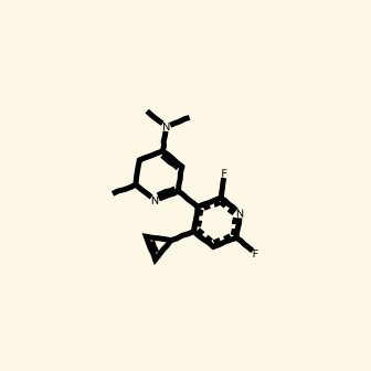 CC1CC(N(C)C)=CC(c2c(C3C=C3)cc(F)nc2F)=N1